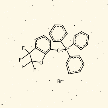 FC1(F)Oc2c(C[P+](c3ccccc3)(c3ccccc3)c3ccccc3)cccc2C1(F)F.[Br-]